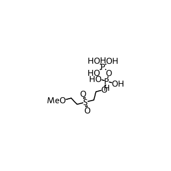 COCCS(=O)(=O)CCO[PH](O)(O)O[PH](O)(O)O